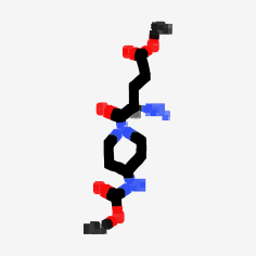 CCCCOC(=O)NC1CCN(C(=O)[C@@H](N)CCC(=O)OC(C)(C)C)CC1